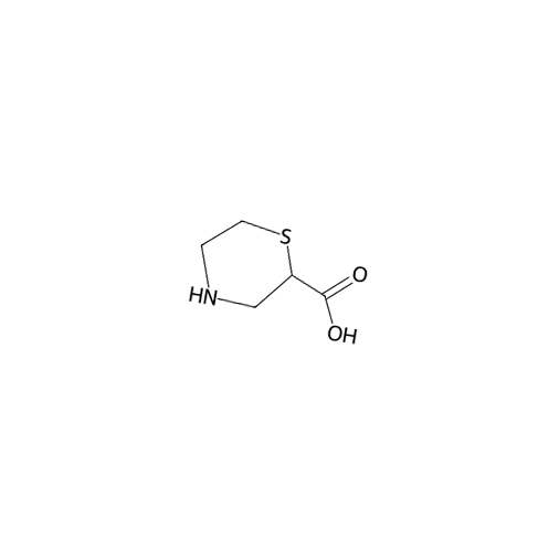 O=C(O)C1CNCCS1